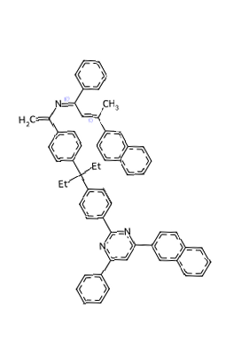 C=C(/N=C(\C=C(/C)c1ccc2ccccc2c1)c1ccccc1)c1ccc(C(CC)(CC)c2ccc(-c3nc(-c4ccccc4)cc(-c4ccc5ccccc5c4)n3)cc2)cc1